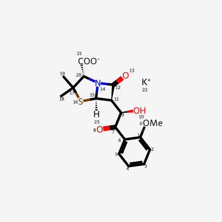 COc1ccccc1C(=O)[C@H](O)[C@@H]1C(=O)N2[C@@H]1SC(C)(C)[C@@H]2C(=O)[O-].[K+]